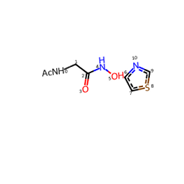 CC(=O)NCC(=O)NO.c1cscn1